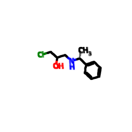 C[C@@H](NCC(O)CCl)c1ccccc1